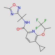 Cc1nc(C(C)(C)NC(=O)c2ccc(C3CC3)c(OC(C)C(F)(F)F)n2)no1